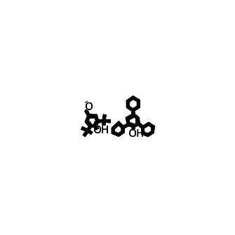 COCc1cc(C(C)(C)C)c(O)c(C(C)(C)C)c1.Oc1c(C2CCCCC2)cc(C2CCCCC2)cc1C1CCCCC1